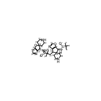 CC(C)(C)[S+]([O-])N[C@@H]1c2ocnc2C(CC(C)(C)[S+]([O-])N[C@@H]2c3ncsc3OC23CCNCC3)C12CCNCC2